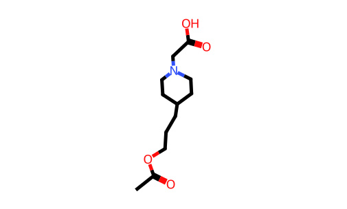 CC(=O)OCCCC1CCN(CC(=O)O)CC1